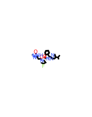 CC(C)c1ccc([C@@H](NC(=O)[C@@H]2C[C@@H](F)CN2C(=O)Cc2nn(C)c(=O)[nH]2)c2ccccc2)nc1